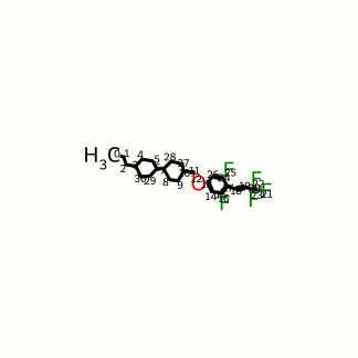 CCCC1CCC(C2CCC(COc3cc(F)c(C#CC(F)(F)F)c(F)c3)CC2)CC1